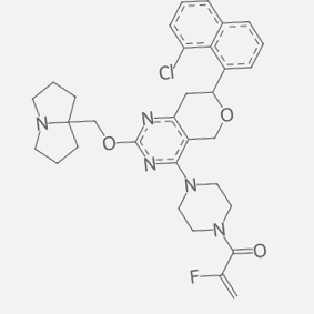 C=C(F)C(=O)N1CCN(c2nc(OCC34CCCN3CCC4)nc3c2COC(c2cccc4cccc(Cl)c24)C3)CC1